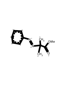 COC(=O)C(C)(C)/N=N/c1ccccc1